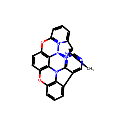 Cc1cc2n(n1)[N+]13c4c(ccc5c4-n4c6c(cccc6c6cnc[n+]1c64)O5)Oc1cccc-2[n+]13